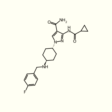 NC(=O)c1cn([C@H]2CC[C@H](NCc3ccc(F)cc3)CC2)nc1NC(=O)C1CC1